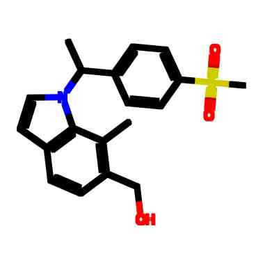 Cc1c(CO)ccc2ccn(C(C)c3ccc(S(C)(=O)=O)cc3)c12